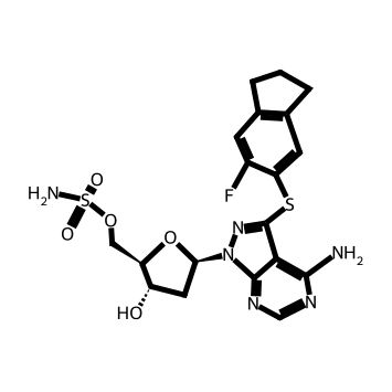 Nc1ncnc2c1c(Sc1cc3c(cc1F)CCC3)nn2[C@H]1C[C@H](O)[C@@H](COS(N)(=O)=O)O1